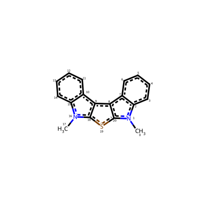 Cn1c2ccccc2c2c3c4ccccc4n(C)c3sc21